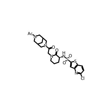 CC(=O)N1CC2CC(C1)CN(C(=O)CN1CCC[C@H](NS(=O)(=O)c3cc4nc(Cl)ccc4s3)C1=O)C2